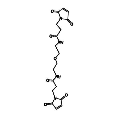 O=C(CCN1C(=O)C=CC1=O)NCCOCCNC(=O)CCN1C(=O)C=CC1=O